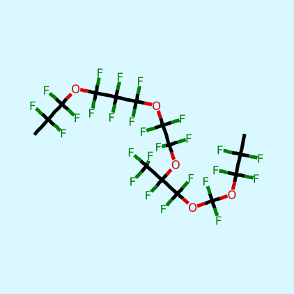 CC(F)(F)C(F)(F)OC(F)(F)OC(F)(F)C(F)(OC(F)(F)C(F)(F)OC(F)(F)C(F)(F)C(F)(F)OC(F)(F)C(C)(F)F)C(F)(F)F